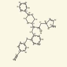 N#Cc1ccc(Cc2cnccc2CN(C(=O)CN2C=CNC2)C2CCN(c3ccccc3)CC2)cc1